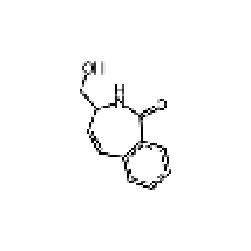 O=C1NC(CO)C=Cc2ccccc21